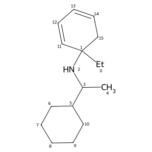 CCC1(NC(C)C2CCCCC2)C=CC=CC1